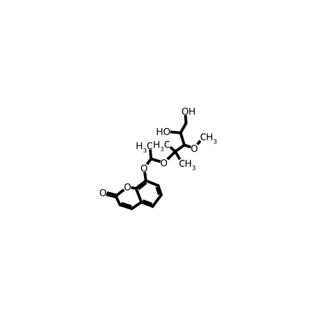 COC(C(O)CO)C(C)(C)OC(C)Oc1cccc2ccc(=O)oc12